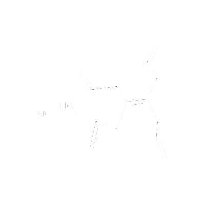 C=CCC(CC=C)=C(CC=C)CC=C.Cl.Cl